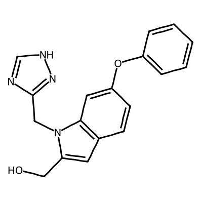 OCc1cc2ccc(Oc3ccccc3)cc2n1Cc1nc[nH]n1